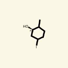 CC1CCC(I)C[C@H]1O